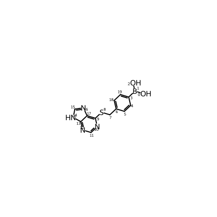 OB(O)c1ccc(CSc2ncnc3[nH]cnc23)cc1